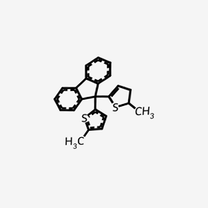 Cc1ccc(C2(C3=CCC(C)S3)c3ccccc3-c3ccccc32)s1